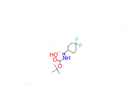 CC(C)(C)OC(=O)N[C@H](CO)C1CCC(F)(F)CC1